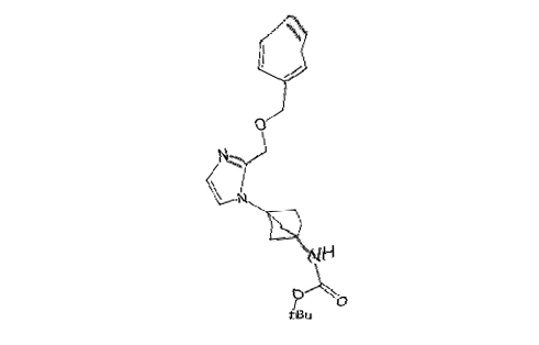 CC(C)(C)OC(=O)NC12CC(n3ccnc3COCc3ccccc3)(C1)C2